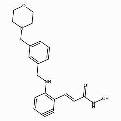 O=C(/C=C/c1c#cccc1NCc1cccc(CN2CCOCC2)c1)NO